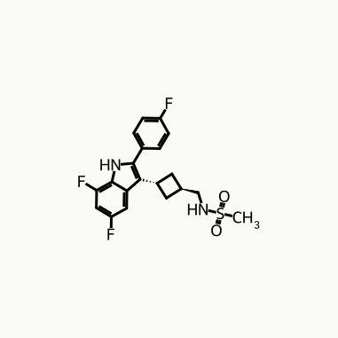 CS(=O)(=O)NC[C@H]1C[C@H](c2c(-c3ccc(F)cc3)[nH]c3c(F)cc(F)cc32)C1